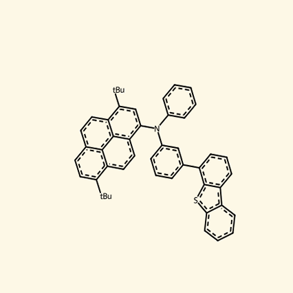 CC(C)(C)c1ccc2ccc3c(C(C)(C)C)cc(N(c4ccccc4)c4cccc(-c5cccc6c5sc5ccccc56)c4)c4ccc1c2c43